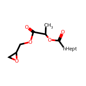 CCCCCCCC(=O)OC(C)C(=O)OCC1CO1